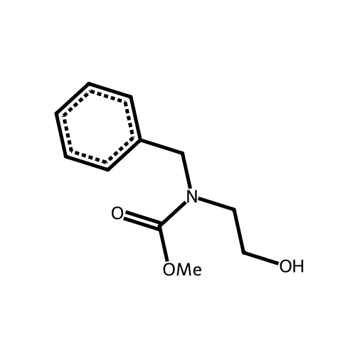 COC(=O)N(CCO)Cc1ccccc1